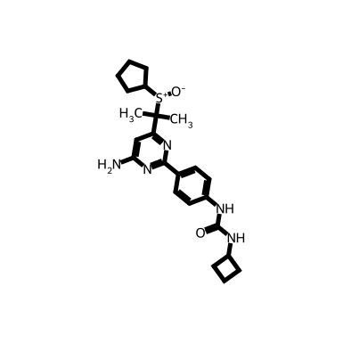 CC(C)(c1cc(N)nc(-c2ccc(NC(=O)NC3CCC3)cc2)n1)[S+]([O-])C1CCCC1